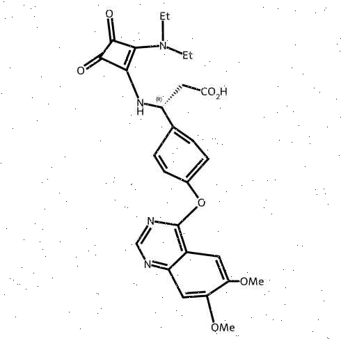 CCN(CC)c1c(N[C@H](CC(=O)O)c2ccc(Oc3ncnc4cc(OC)c(OC)cc34)cc2)c(=O)c1=O